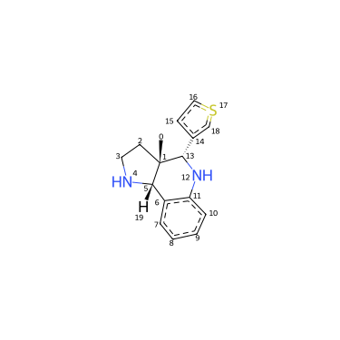 C[C@]12CCN[C@H]1c1ccccc1N[C@H]2c1ccsc1